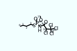 CCCCSP(=O)(NC(=O)C(Cl)C(Cl)(Cl)Cl)OC